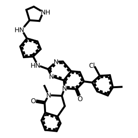 Cc1ccc(-c2cc3cnc(Nc4ccc(NC5CCNC5)cc4)nc3n(C3Cc4ccccc4C(=O)N3C)c2=O)c(Cl)c1